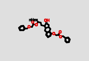 CCCCCCC(CCC1C2Cc3cccc(OCC(=O)OCc4ccccc4)c3CC2C[C@H]1O)OC(=O)COCc1ccccc1